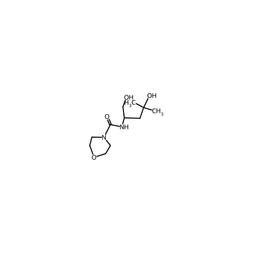 CC(C)(O)CC(CO)NC(=O)N1CCOCC1